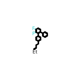 CCC=CCCc1ccc(-c2c(-c3ccccc3)ccc(F)c2F)cc1